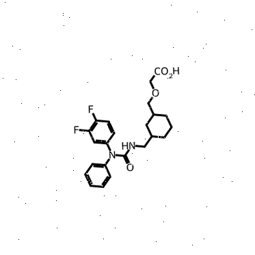 O=C(O)COCC1CCCC(CNC(=O)N(c2ccccc2)c2ccc(F)c(F)c2)C1